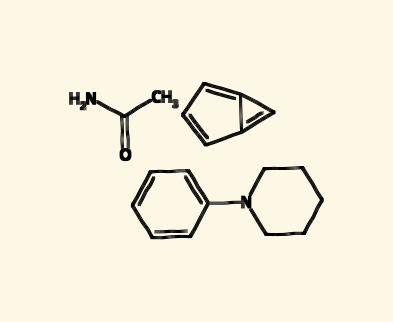 CC(N)=O.c1cc2cc-2c1.c1ccc(N2CCCCC2)cc1